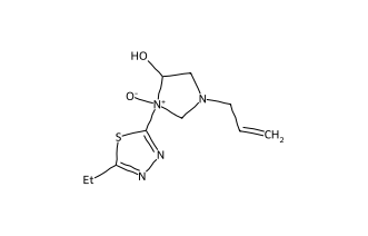 C=CCN1CC(O)[N+]([O-])(c2nnc(CC)s2)C1